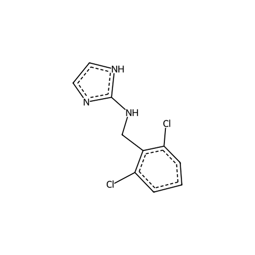 Clc1cccc(Cl)c1CNc1ncc[nH]1